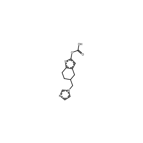 O=C(O)Oc1cc2c(s1)CCC(Cn1ccnc1)C2